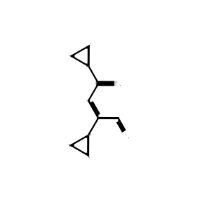 N=C/C(=C\C(=N)C1CC1)C1CC1